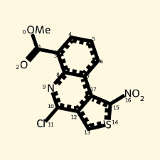 COC(=O)c1cccc2c1nc(Cl)c1csc([N+](=O)[O-])c12